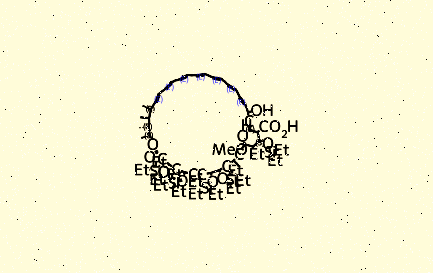 CC[Si](CC)(CC)OC1CCC(O[Si](CC)(CC)CC)C(O[Si](CC)(CC)CC)CC(C)CC2(OC)C[C@H](O[Si](CC)(CC)CC)C(C(=O)O)[C@H](CC(O)/C=C/C=C/C=C/C=C/C=C/C=C/C=C/[C@H](C)C(C)[C@@H](C)[C@H](C)OC(=O)CC(O[Si](CC)(CC)CC)C1)O2